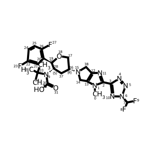 Cn1c(-c2nnn(C(F)F)n2)nc2c1CN([C@H]1CO[C@H](c3cc(F)ccc3F)[C@@H](N(C(=O)O)C(C)(C)C)C1)C2